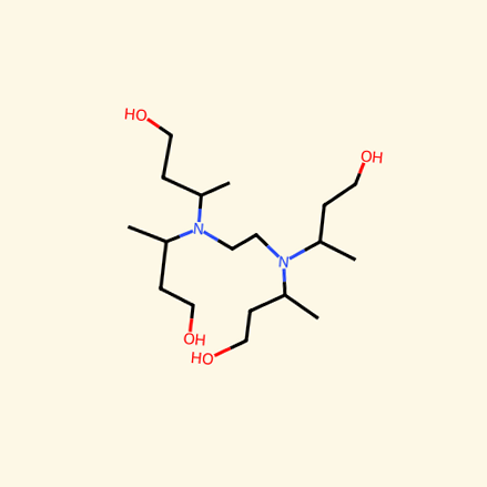 CC(CCO)N(CCN(C(C)CCO)C(C)CCO)C(C)CCO